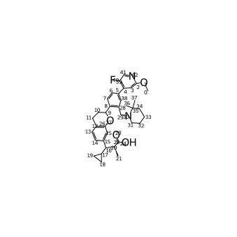 COc1cc(-c2ccc(C3CCc4ccc(C(C5CC5)[C@H](C)C(=O)O)cc4O3)c(CN3CCCCC3(C)C)c2)c(F)cn1